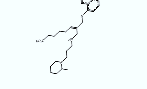 CC1CCCCN1CCCNCC(=CCCCCC(=O)O)COc1cccc2ccccc12